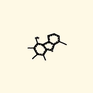 CCCc1c(C)c(C)c(C)c2sc3c(C)cccc3c12